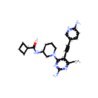 Cc1nc(N)nc(N2CCCC(NC(=O)C3CCC3)C2)c1C#Cc1ccc(N)nc1